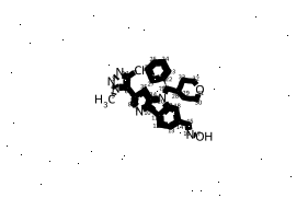 Cc1nnn(C)c1-c1cnc2c3ccc(C=NO)cc3n([C@H](c3ccccc3)C3CCOCC3)c2c1